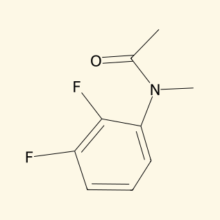 CC(=O)N(C)c1cccc(F)c1F